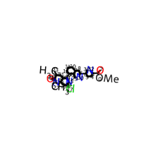 COC(=O)c1ccc(-c2cc3cccc(-c4nc(Cl)cc5c4cc(C)c(=O)n5C)c3cn2)cn1